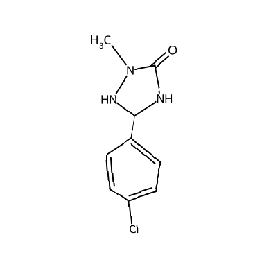 CN1NC(c2ccc(Cl)cc2)NC1=O